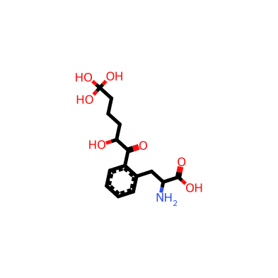 NC(Cc1ccccc1C(=O)C(O)CCCC(O)(O)O)C(=O)O